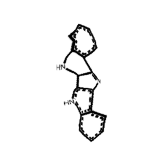 c1ccc2c(c1)NC1C2=Nc2c1[nH]c1ccccc21